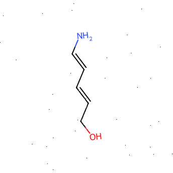 NC=CC=CCO